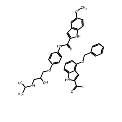 COc1ccc2[nH]c(C(=O)Nc3ccc(OCC(O)CNC(C)C)cc3)cc2c1.O=C(Cl)c1cc2c(OCc3ccccc3)cccc2[nH]1